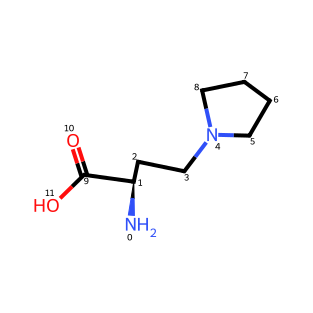 N[C@H](CCN1CCCC1)C(=O)O